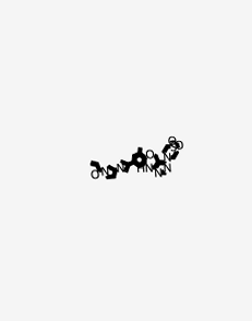 C=CC(=O)N1CCC(N2CC(c3cc(C)c4c(c3)Nc3ncnc(N5CCS(=O)(=O)CC5)c3CO4)C2)C1